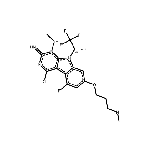 CNCCCOc1cc(F)c2c3c(Cl)nc(=N)n(NC)c3n([C@@H](C)C(F)(F)F)c2c1